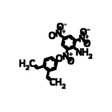 C=Cc1ccccc1C=C.Nc1c([N+](=O)[O-])cc([N+](=O)[O-])cc1[N+](=O)[O-]